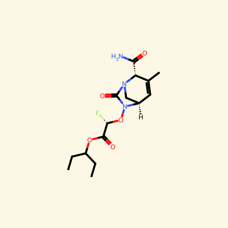 CCC(CC)OC(=O)[C@H](F)ON1C(=O)N2C[C@H]1C=C(C)[C@H]2C(N)=O